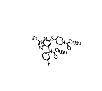 CC(C)c1cnc2c(N(C(=O)OC(C)(C)C)c3cccc(F)c3)cc(SC3CCN(C(=O)OC(C)(C)C)CC3)nn12